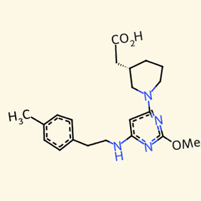 COc1nc(NCCc2ccc(C)cc2)cc(N2CCC[C@@H](CC(=O)O)C2)n1